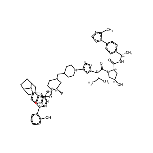 Cc1ncsc1-c1ccc([C@H](C)NC(=O)[C@@H]2C[C@@H](O)CN2C(=O)[C@@H](c2cc(N3CCC(CN4CC[C@H](Oc5cc(N6C7CCC6CN(c6cc(-c8ccccc8O)nnc6N)C7)ccn5)[C@H](F)C4)CC3)no2)C(C)C)cc1